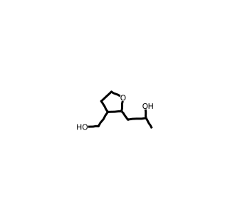 CC(O)CC1OCCC1CO